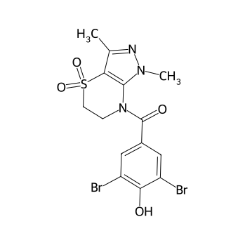 Cc1nn(C)c2c1S(=O)(=O)CCN2C(=O)c1cc(Br)c(O)c(Br)c1